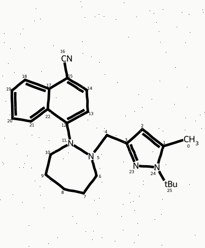 Cc1cc(CN2CCCCCN2c2ccc(C#N)c3ccccc23)nn1C(C)(C)C